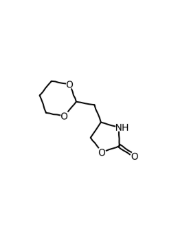 O=C1NC(CC2OCCCO2)CO1